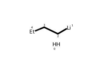 [HH].[Li][CH2]CCC